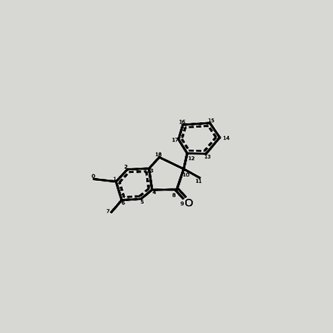 Cc1cc2c(cc1C)C(=O)C(C)(c1ccccc1)C2